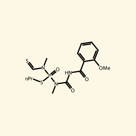 CCCSP(=O)(N(C)C=S)N(C)C(=O)NC(=O)c1ccccc1OC